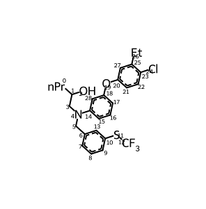 CCCC(O)CN(Cc1cccc(SC(F)(F)F)c1)c1cccc(Oc2ccc(Cl)c(CC)c2)c1